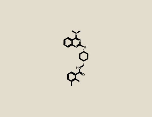 Cc1cccc(C(=O)NC[C@H]2CC[C@@H](Nc3nc(N(C)C)c4ccccc4n3)CC2)c1C